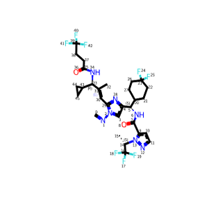 C=Nn1cc([C@@H](NC(=O)c2ccnn2[C@@H](C)C(F)(F)F)C2CCC(F)(F)CC2)nc1/C=C(\C)[C@H](NC(=O)CCC(F)(F)F)C1CC1